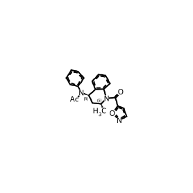 CC(=O)N(c1ccccc1)[C@@H]1C[C@H](C)N(C(=O)c2ccno2)c2ccccc21